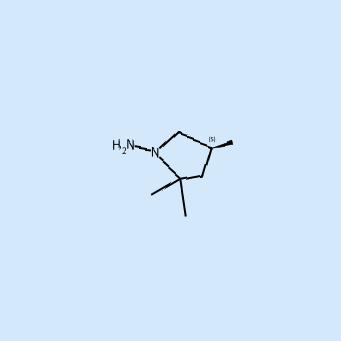 C[C@@H]1CN(N)C(C)(C)C1